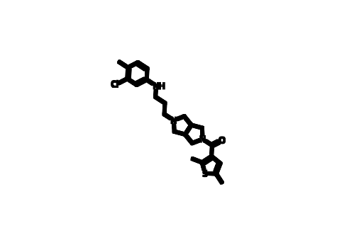 Cc1cc(C(=O)N2CC3CN(CCCNc4ccc(C)c(Cl)c4)CC3C2)c(C)s1